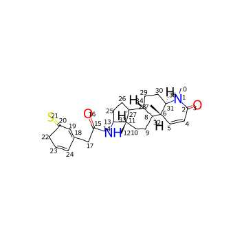 CN1C(=O)C=C[C@]2(C)[C@H]3CC[C@]4(C)C(NC(=O)CC5=CC(=S)CC=C5)CC[C@H]4[C@@H]3CC[C@@H]12